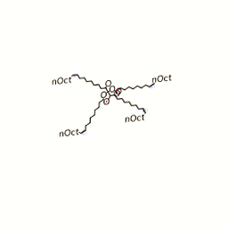 CCCCCCCC/C=C\CCCCCCCC(=O)OC(OC(=O)CCCCCCC/C=C\CCCCCCCC)(C(=O)CCCCCCC/C=C\CCCCCCCC)C(C)C(=O)CCCCCCC/C=C\CCCCCCCC